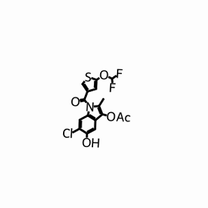 CC(=O)Oc1c(C)n(C(=O)c2csc(OC(F)F)c2)c2cc(Cl)c(O)cc12